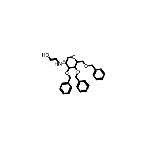 OCCN[C@@H]1COC(COCc2ccccc2)C(OCc2ccccc2)C1OCc1ccccc1